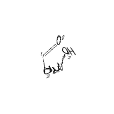 O=CO.[OH][AlH2]